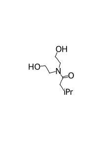 CC(C)CC(=O)N(CCO)CCO